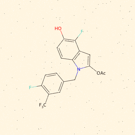 CC(=O)Oc1cc2c(F)c(O)ccc2n1Cc1ccc(F)c(C(F)(F)F)c1